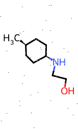 C[C@H]1CC[C@@H](NCCO)CC1